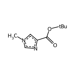 Cn1cnc(C(=O)OC(C)(C)C)c1